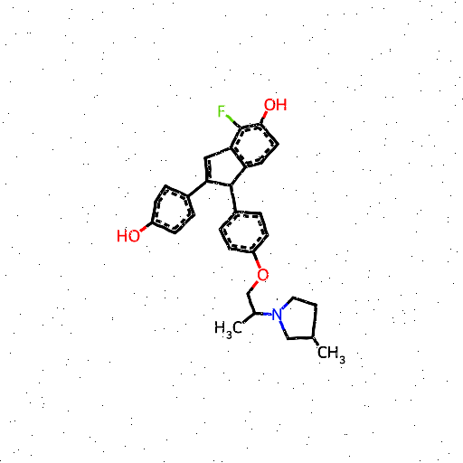 CC1CCN(C(C)COc2ccc(C3C(c4ccc(O)cc4)=Cc4c3ccc(O)c4F)cc2)C1